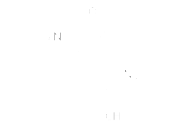 Cc1cc2ncoc2cn1